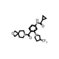 O=C(Nc1ccc(C(=O)N2CCC3(CC2)COC3)c(N2CCC(C(F)(F)F)C2)c1)C1CC1